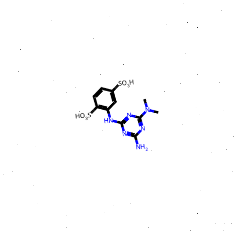 CN(C)c1nc(N)nc(Nc2cc(S(=O)(=O)O)ccc2S(=O)(=O)O)n1